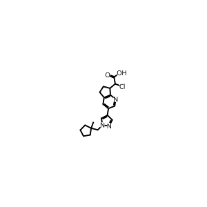 CC1(Cn2cc(-c3cnc4c(c3)CCC4C(Cl)C(=O)O)cn2)CCCC1